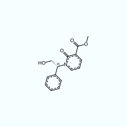 COC(=O)c1cccn([C@@H](CO)c2ccccc2)c1=O